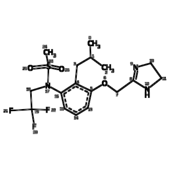 CC(C)Cc1c(OCC2=NCCN2)cccc1N(CC(F)(F)F)S(C)(=O)=O